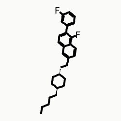 CCCCC[C@H]1CC[C@H](CCc2ccc3c(F)c(-c4cccc(F)c4)ccc3c2)CC1